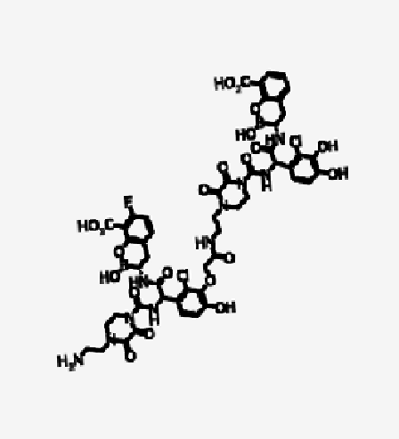 NCCN1CCN(C(=O)N[C@@H](C(=O)N[C@H]2Cc3ccc(F)c(C(=O)O)c3OB2O)c2ccc(O)c(OCC(=O)NCCN3CCN(C(=O)NC(C(=O)N[C@H]4Cc5cccc(C(=O)O)c5OB4O)c4ccc(O)c(O)c4Cl)C(=O)C3=O)c2Cl)C(=O)C1=O